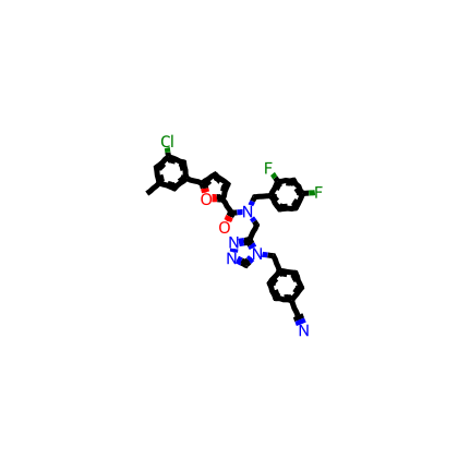 Cc1cc(Cl)cc(-c2ccc(C(=O)N(Cc3ccc(F)cc3F)Cc3nncn3Cc3ccc(C#N)cc3)o2)c1